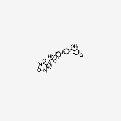 CC1C=C(Cl)C=CC1C(O)N1CCN(c2ccc(NC(=O)Cn3cnc4c3C(=O)N(C)COCN4C)nc2)CC1